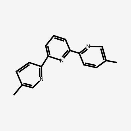 Cc1ccc(-c2cccc(-c3ccc(C)cn3)n2)nc1